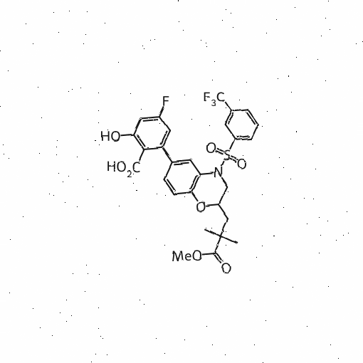 COC(=O)C(C)(C)CC1CN(S(=O)(=O)c2cccc(C(F)(F)F)c2)c2cc(-c3cc(F)cc(O)c3C(=O)O)ccc2O1